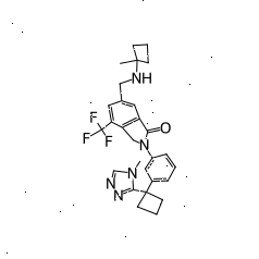 Cn1cnnc1C1(c2cccc(N3Cc4c(cc(CNC5(C)CCC5)cc4C(F)(F)F)C3=O)c2)CCC1